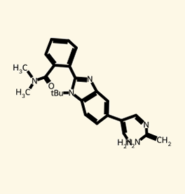 C=C(N)/N=C\C(=C/N)c1ccc2c(c1)nc(-c1ccccc1C(=O)N(C)C)n2C(C)(C)C